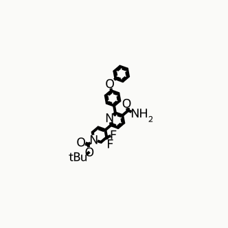 CC(C)(C)OC(=O)N1CC=C(c2ccc(C(N)=O)c(-c3ccc(Oc4ccccc4)cc3)n2)C(F)(F)C1